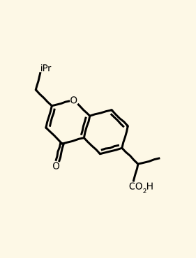 CC(C)Cc1cc(=O)c2cc(C(C)C(=O)O)ccc2o1